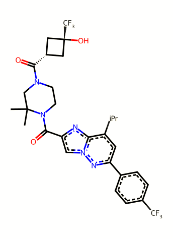 CC(C)c1cc(-c2ccc(C(F)(F)F)cc2)nn2cc(C(=O)N3CCN(C(=O)[C@H]4C[C@](O)(C(F)(F)F)C4)CC3(C)C)nc12